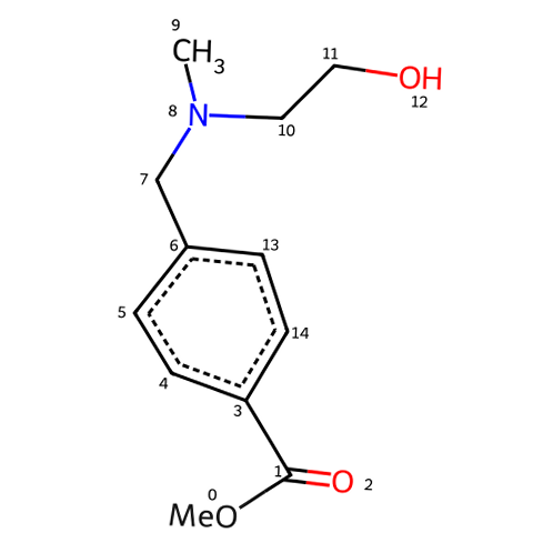 COC(=O)c1ccc(CN(C)CCO)cc1